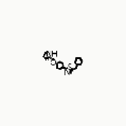 c1ccc(Cc2cnc(-c3ccc(OC[C@@H]4CCCN4)cc3)s2)cc1